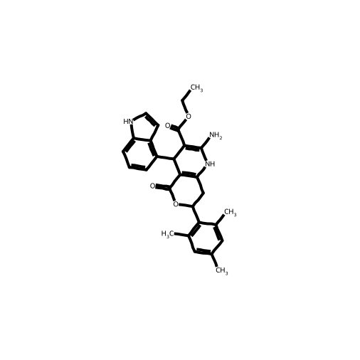 CCOC(=O)C1=C(N)NC2=C(C(=O)OC(c3c(C)cc(C)cc3C)C2)C1c1cccc2[nH]ccc12